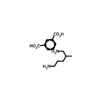 CC(CN)CCCN.O=C(O)c1cccc(C(=O)O)c1